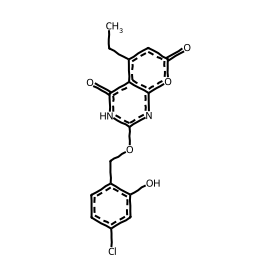 CCc1cc(=O)oc2nc(OCc3ccc(Cl)cc3O)[nH]c(=O)c12